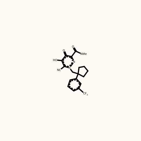 CNC(=O)c1nn(CC2(c3cccc(C(F)(F)F)c3)CCCC2)c(C#N)c(O)c1=O